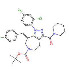 CC(C)(C)OC(=O)N1CCc2c(C(=O)N3CCCCC3)nn(-c3ccc(Cl)cc3Cl)c2C(=Cc2ccc(F)cc2)C1